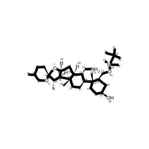 CC1CC[C@@]2(OC1)O[C@H]1C[C@H]3[C@H](CN)[C@@H]([C@@]4(C)CC[C@H](O)C[C@@H]4CO[Si](C)(C)C(C)(C)C)CC[C@]3(C)[C@H]1[C@@H]2C